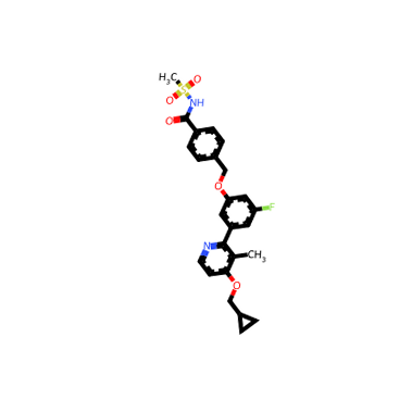 Cc1c(OCC2CC2)ccnc1-c1cc(F)cc(OCc2ccc(C(=O)NS(C)(=O)=O)cc2)c1